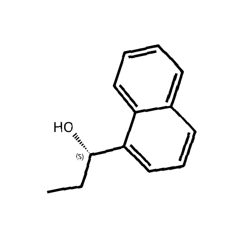 CC[C@H](O)c1cccc2ccccc12